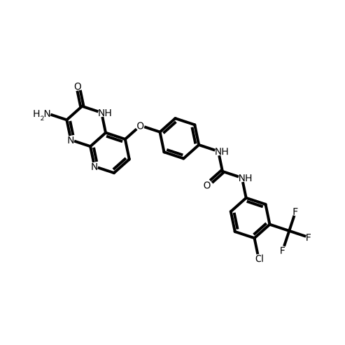 Nc1nc2nccc(Oc3ccc(NC(=O)Nc4ccc(Cl)c(C(F)(F)F)c4)cc3)c2[nH]c1=O